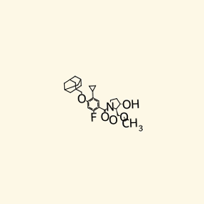 COC(=O)[C@@H]1[C@@H](O)CCN1C(=O)c1cc(C2CC2)c(OCC23CC4CC(CC(C4)C2)C3)cc1F